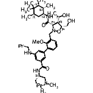 COc1c(CN2O[C@@H](CO)[C@@H]([C@H](C)O)[C@H]2C(=O)N[C@H]2C[C@@H](C)C(C)(C)[C@@H](C)[C@@H]2C)cccc1-c1cc(NCC(C)C)cc(C(=O)N[C@@H](CC(C)C)CN(C)C)c1